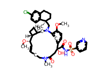 COc1ccc2cc1N(C[C@]1(C)CCCc3cc(Cl)ccc31)C[C@@H]1CC[C@H]1[C@@H](OC)/C=C/CCN(C)C(=O)C[C@]2(O)C(=O)NS(=O)(=O)c1cccnc1